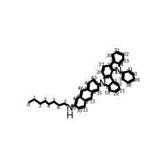 CCCCCCCCNc1ccc2cc3cc(-n4c5ccccc5c5c4ccc4c6ccccc6n(-c6ccccc6)c45)ccc3cc2c1